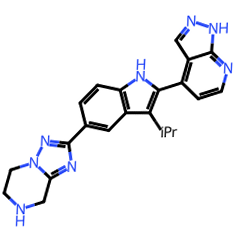 CC(C)c1c(-c2ccnc3[nH]ncc23)[nH]c2ccc(-c3nc4n(n3)CCNC4)cc12